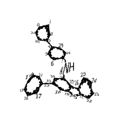 c1ccc(-c2ccc(Nc3cc(-c4ccccc4)cc4sc5ccccc5c34)cc2)cc1